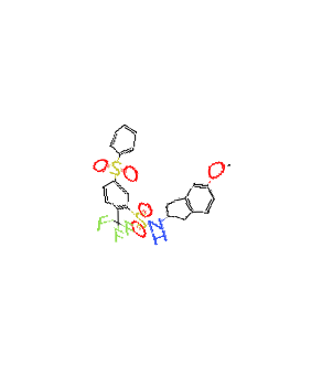 [O]c1ccc2c(c1)CC(NS(=O)(=O)c1cc(S(=O)(=O)c3ccccc3)ccc1C(F)(F)F)C2